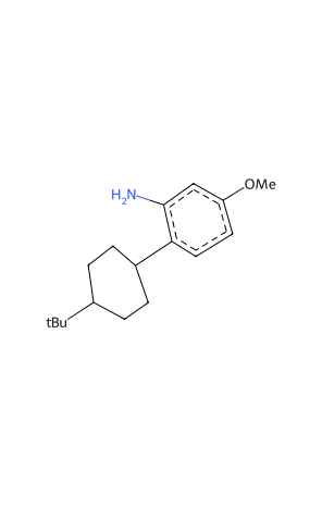 COc1ccc(C2CCC(C(C)(C)C)CC2)c(N)c1